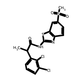 CC(C(=O)Nc1nc2ccc(S(C)(=O)=O)cc2s1)c1cccc(Cl)c1Cl